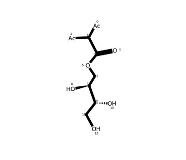 CC(=O)C(C(C)=O)C(=O)OC[C@H](O)[C@H](O)CO